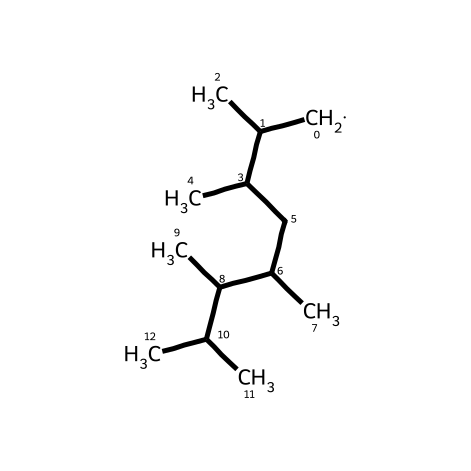 [CH2]C(C)C(C)CC(C)C(C)C(C)C